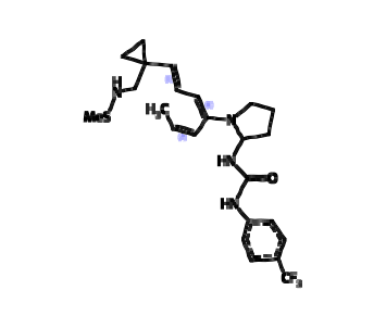 C\C=C/C(=C\C=C\C1(CNSC)CC1)N1CCCC1NC(=O)Nc1ccc(C(F)(F)F)cc1